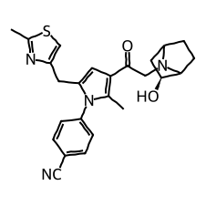 Cc1nc(Cc2cc(C(=O)CN3C4CCC3[C@@H](O)C4)c(C)n2-c2ccc(C#N)cc2)cs1